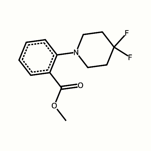 COC(=O)c1ccccc1N1CCC(F)(F)CC1